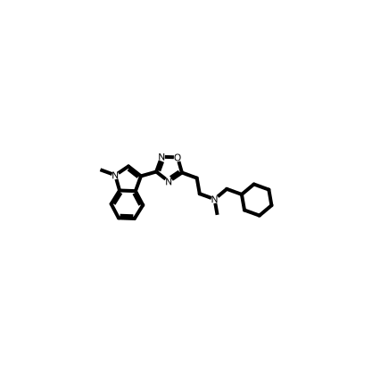 CN(CCc1nc(-c2cn(C)c3ccccc23)no1)CC1CCCCC1